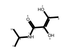 C/C(O)=C(\O)C(=O)NC(C)C